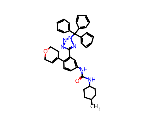 CC1CCC(NC(=O)Nc2ccc(C3=CCOCC3)c(-c3nnn(C(c4ccccc4)(c4ccccc4)c4ccccc4)n3)c2)CC1